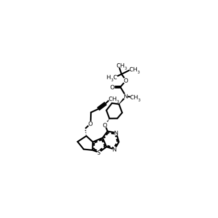 CC#CCOC[C@H]1CCc2sc3ncnc(O[C@H]4CC[C@H](N(C)C(=O)OC(C)(C)C)CC4)c3c21